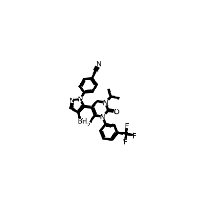 Bc1cnn(-c2ccc(C#N)cc2)c1C1=C(C)N(c2cccc(C(F)(F)F)c2)C(=O)N(C(C)C)C1